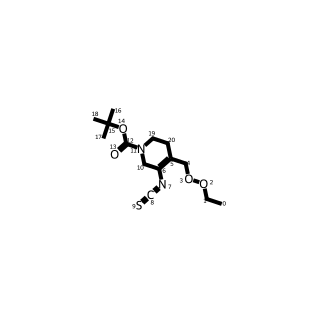 CCOOCC1=C(N=C=S)CN(C(=O)OC(C)(C)C)CC1